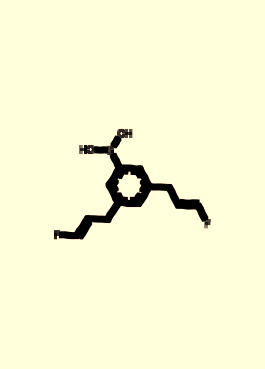 OB(O)c1cc(CC=CF)cc(CC=CF)c1